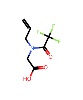 C=CCN(CC(=O)O)C(=O)C(F)(F)F